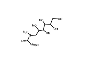 CCCCCCCC(=O)N(C)CC(O)C(O)C(O)C(O)CO